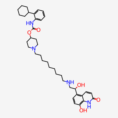 O=C(Nc1ccccc1C1CCCCC1)OC1CCN(CCCCCCCCCNC[C@@H](O)c2ccc(O)c3[nH]c(=O)ccc23)CC1